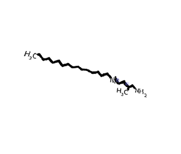 CCCCCCCCCCCCCCCCN/C=C/C=C(\C)CN